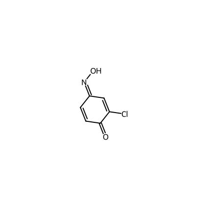 O=C1C=CC(=NO)C=C1Cl